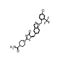 NC(=O)C1CCN(C2=NC(=O)C(=Cc3ccc4c(cnn4Cc4ccc(Cl)cc4C(F)(F)F)c3)S2)CC1